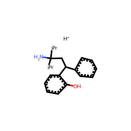 CC(C)C(N)(CC(c1ccccc1)c1ccccc1O)C(C)C.[H+]